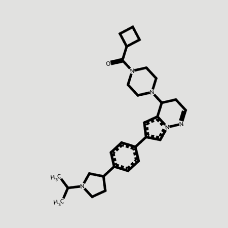 CC(C)N1CCC(c2ccc(-c3cc4n(c3)N=CCC4N3CCN(C(=O)C4CCC4)CC3)cc2)C1